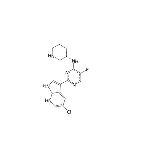 Fc1cnc(C2=CNC3NC=C(Cl)C=C23)nc1N[C@H]1CCCNC1